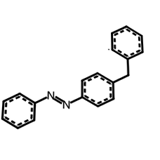 [c]1ccccc1Cc1ccc(N=Nc2ccccc2)cc1